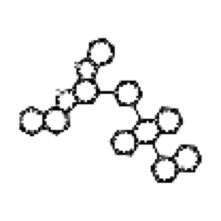 c1cc(-c2c3ccccc3c(-c3cccc4ccccc34)c3ccccc23)cc(-c2cc3c4ccc5ccccc5c4oc3c3oc4ccccc4c23)c1